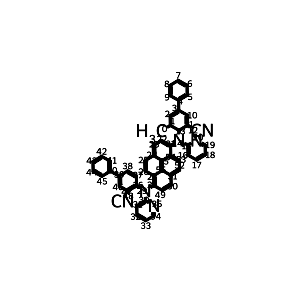 CC1C=C(c2ccccc2)C=C(C#N)C1N(c1ccccn1)c1ccc2ccc3c(N(c4ccccn4)c4ccc(-c5ccccc5)cc4C#N)ccc4ccc1c2c43